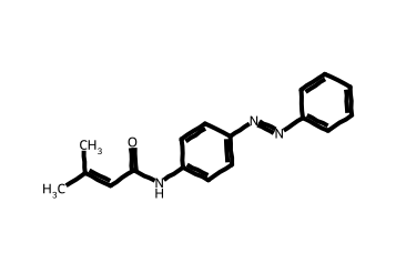 CC(C)=CC(=O)Nc1ccc(N=Nc2ccccc2)cc1